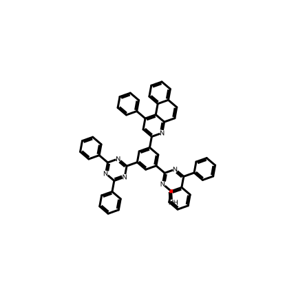 N=C/N=C(\N=C(c1ccccc1)c1ccccc1)c1cc(-c2cc(-c3ccccc3)c3c(ccc4ccccc43)n2)cc(-c2nc(-c3ccccc3)nc(-c3ccccc3)n2)c1